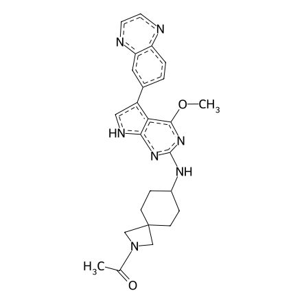 COc1nc(NC2CCC3(CC2)CN(C(C)=O)C3)nc2[nH]cc(-c3ccc4nccnc4c3)c12